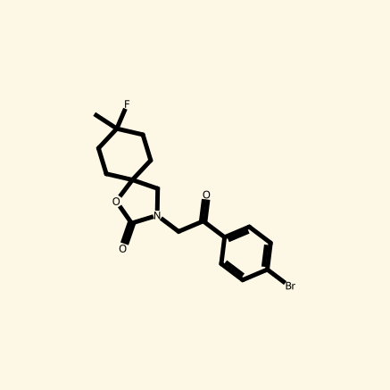 CC1(F)CCC2(CC1)CN(CC(=O)c1ccc(Br)cc1)C(=O)O2